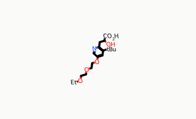 CCOCCOCCOc1cnc(CC(O)C(=O)O)c(C(C)(C)C)c1